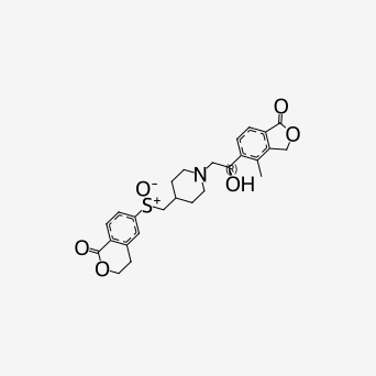 Cc1c([C@@H](O)CN2CCC(C[S+]([O-])c3ccc4c(c3)CCOC4=O)CC2)ccc2c1COC2=O